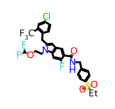 CCS(=O)(=O)c1ccc(CNC(=O)c2cc3cc(Cc4ccc(Cl)cc4C(F)(F)F)n(CCOC(F)F)c3cc2F)cc1